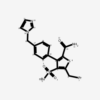 CCCCS(=O)(=O)c1c(CC(C)C)sc(C(N)=O)c1-c1ccc(Cn2ccnc2)cc1